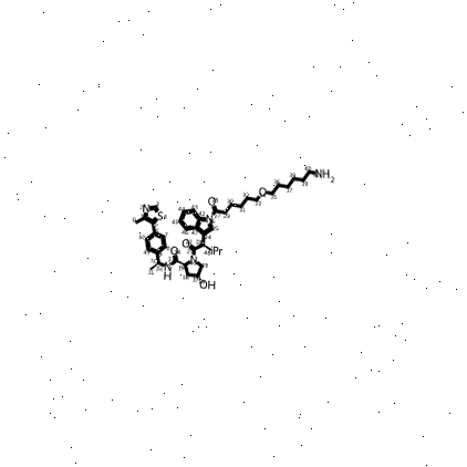 Cc1ncsc1-c1ccc([C@H](C)NC(=O)[C@@H]2C[C@@H](O)CN2C(=O)[C@@H](c2cn(C(=O)CCCCCOCCCCCCN)c3ccccc23)C(C)C)cc1